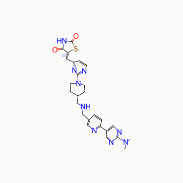 CN(C)c1ncc(-c2ccc(CNCC3CCN(c4nccc(/C=C5\SC(=O)NC5=O)n4)CC3)cn2)cn1